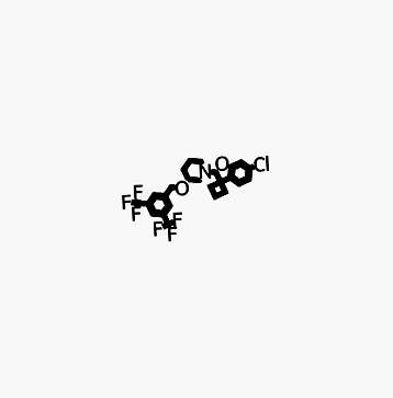 O=C(N1CCCC(OCc2cc(C(F)(F)F)cc(C(F)(F)F)c2)C1)C1(c2ccc(Cl)cc2)CCC1